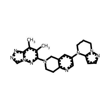 Cc1c(N2CCc3ncc(N4CCCn5nccc54)cc3C2)nn2cnnc2c1C